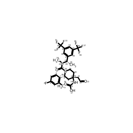 Cc1cc(F)ccc1[C@H]1C[C@@](CC=O)(NC(=O)O)CCN1C(=O)N(C)[C@@H](C)c1cc(C(F)(F)F)cc(C(F)(F)F)c1